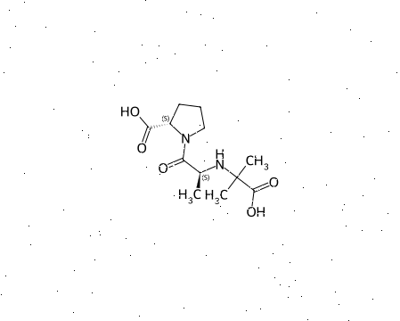 C[C@H](NC(C)(C)C(=O)O)C(=O)N1CCC[C@H]1C(=O)O